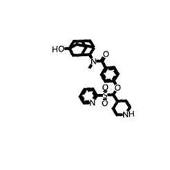 CN(C(=O)c1ccc(OC(C2CCNCC2)S(=O)(=O)c2ccccn2)cc1)C1C2CC3CC1CC(O)(C3)C2